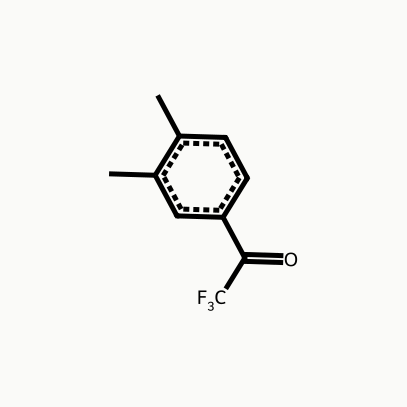 Cc1ccc(C(=O)C(F)(F)F)cc1C